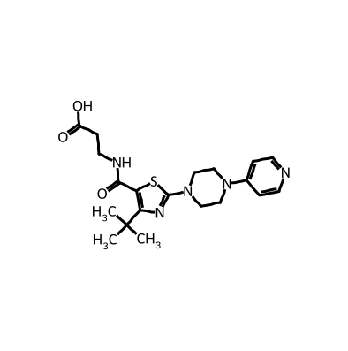 CC(C)(C)c1nc(N2CCN(c3ccncc3)CC2)sc1C(=O)NCCC(=O)O